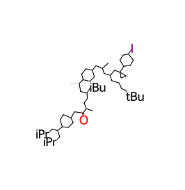 CCC(C)C(CCC(C)C(=O)CC1CCC(C(CC(C)C)CC(C)C)CC1)C[C@H](C)C1CCC(CC(C)CC(CCCCC(C)(C)C)CC2(C3CCC(I)CC3)CC2)CC1